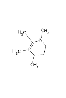 CC1=C(C)N(C)CCC1C